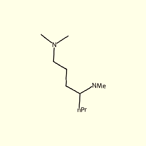 CCCC(CCCN(C)C)NC